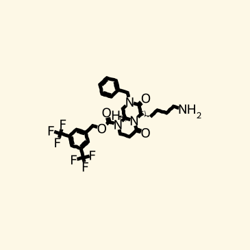 NCCCC[C@H]1C(=O)N(Cc2ccccc2)C[C@@H]2N(C(=O)OCc3cc(C(F)(F)F)cc(C(F)(F)F)c3)CCC(=O)N21